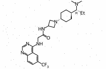 CC[C@H]([C@H]1CC[C@H](N2CC(NC(=O)CNc3ncnc4ccc(C(F)(F)F)cc34)C2)CC1)N(C)C